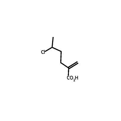 C=C(CCC(C)Cl)C(=O)O